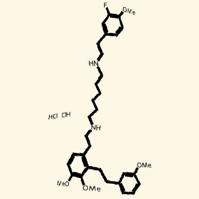 COc1cccc(CCc2c(CCNCCCCCCNCCc3ccc(OC)c(F)c3)ccc(OC)c2OC)c1.Cl.Cl